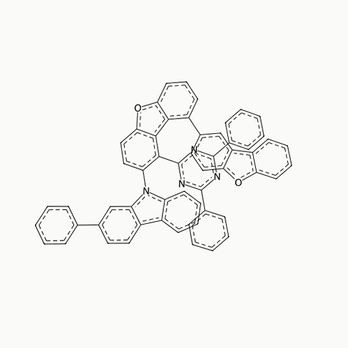 c1ccc(-c2ccc3c4ccccc4n(-c4ccc5oc6cccc(-c7ccc8oc9ccccc9c8c7)c6c5c4-c4nc(-c5ccccc5)nc(-c5ccccc5)n4)c3c2)cc1